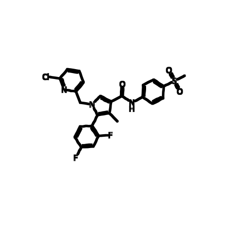 Cc1c(C(=O)Nc2ccc(S(C)(=O)=O)cc2)cn(Cc2cccc(Cl)n2)c1-c1ccc(F)cc1F